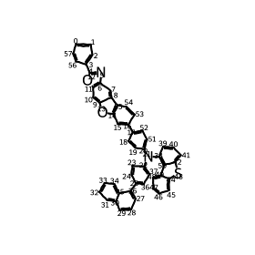 c1ccc(-c2nc3cc4c(cc3o2)oc2cc(-c3ccc(N(c5ccc(-c6cccc7ccccc67)cc5)c5cccc6sc7ccccc7c56)cc3)ccc24)cc1